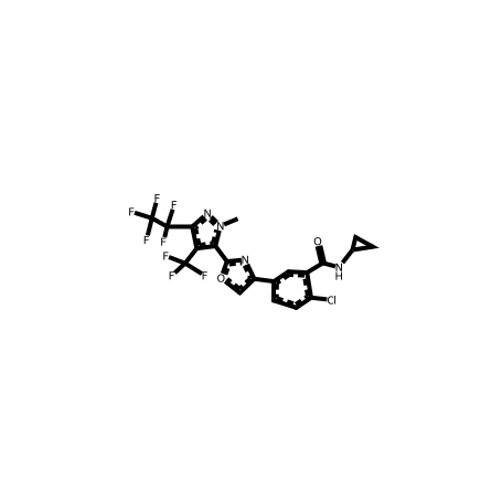 Cn1nc(C(F)(F)C(F)(F)F)c(C(F)(F)F)c1-c1nc(-c2ccc(Cl)c(C(=O)NC3CC3)c2)co1